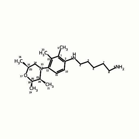 Cc1c(NCCCCCN)ccc(N2C[C@H](C)O[C@H](C)[C@@H]2C)c1C